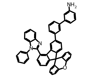 Nc1cccc(-c2cccc(-c3ccc4c(c3)-c3c(-c5nc6ccccc6n5-c5ccccc5)cccc3C43c4ccccc4Oc4ccccc43)c2)c1